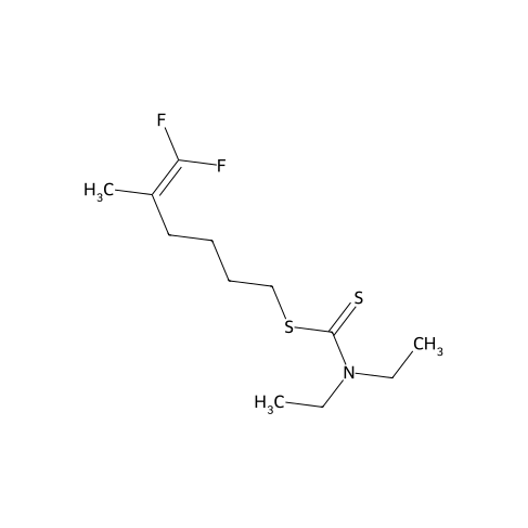 CCN(CC)C(=S)SCCCCC(C)=C(F)F